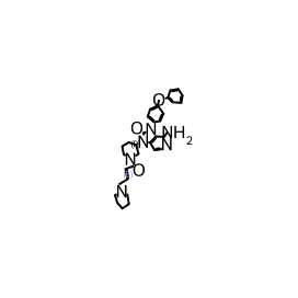 Nc1nccc2c1n(-c1ccc(Oc3ccccc3)cc1)c(=O)n2[C@@H]1CCCN(C(=O)/C=C/CN2CCCCC2)C1